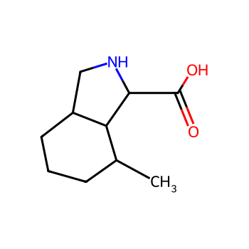 CC1CCCC2CNC(C(=O)O)C12